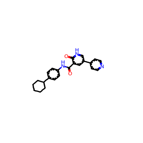 O=C(Nc1ccc(C2CCCCC2)cc1)c1cc(-c2ccncc2)c[nH]c1=O